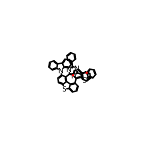 c1ccc(-c2nc(-c3ccccc3)nc(-c3c(-n4c5ccccc5c5ccccc54)ccc4sc5cccc(-c6cccc7c6sc6ccccc67)c5c34)n2)cc1